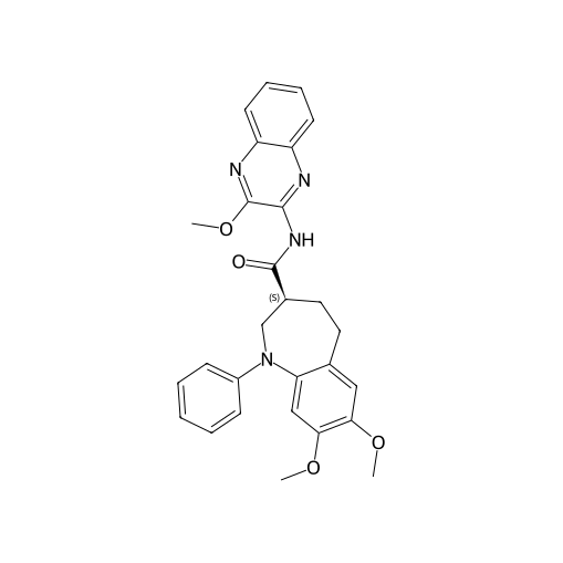 COc1cc2c(cc1OC)N(c1ccccc1)C[C@@H](C(=O)Nc1nc3ccccc3nc1OC)CC2